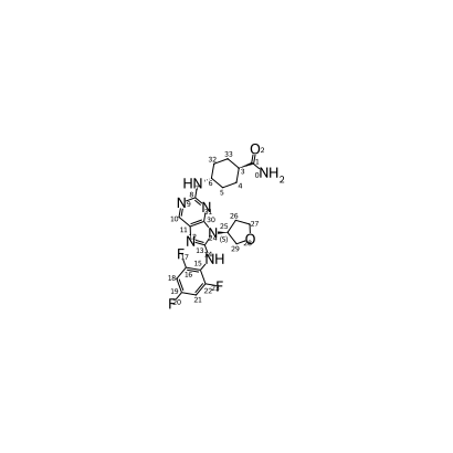 NC(=O)[C@H]1CC[C@H](Nc2ncc3nc(Nc4c(F)cc(F)cc4F)n([C@H]4CCOC4)c3n2)CC1